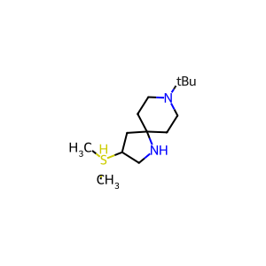 C[SH](C)C1CNC2(CCN(C(C)(C)C)CC2)C1